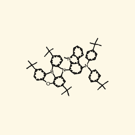 Cn1c2ccccc2c2c(N(c3ccc(C(C)(C)C)cc3)c3ccc(C(C)(C)C)cc3)ccc(N3c4ccc(C(C)(C)C)cc4B4c5cc(C(C)(C)C)ccc5Oc5cc(C(C)(C)C)cc3c54)c21